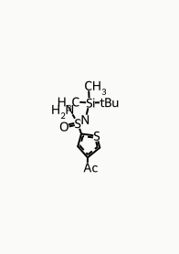 CC(=O)c1csc(S(N)(=O)=N[Si](C)(C)C(C)(C)C)c1